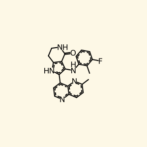 Cc1ccc2nccc(-c3[nH]c4c(c3Nc3cccc(F)c3C)C(=O)NCC4)c2n1